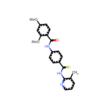 COc1ccc(C(=O)Nc2ccc(C(=S)Nc3ncccc3C)cc2)c(OC)c1